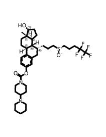 C[C@]12CC[C@@H]3c4ccc(OC(=O)N5CCC(N6CCCCC6)CC5)cc4C[C@@H](CCC[S+]([O-])CCCC(F)(F)C(F)(F)F)[C@H]3[C@@H]1CC[C@@H]2O